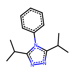 CC(C)c1nnc(C(C)C)n1-c1ccccc1